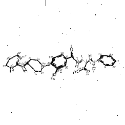 O=C(NC[C@H](N[S+]([O-])c1ccccc1)C(=O)O)c1ccc(N2CCC(NC3=NCCCN3)CC2)c(F)c1